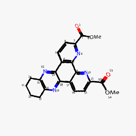 COC(=O)c1ccc2c(n1)c1nc(C(=O)OC)ccc1c1nc3c(nc21)CCCC3